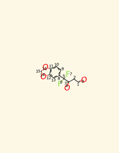 O=CCC(=O)C(F)(F)c1ccc2c(c1)OCO2